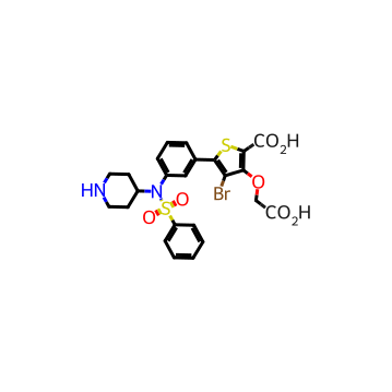 O=C(O)COc1c(C(=O)O)sc(-c2cccc(N(C3CCNCC3)S(=O)(=O)c3ccccc3)c2)c1Br